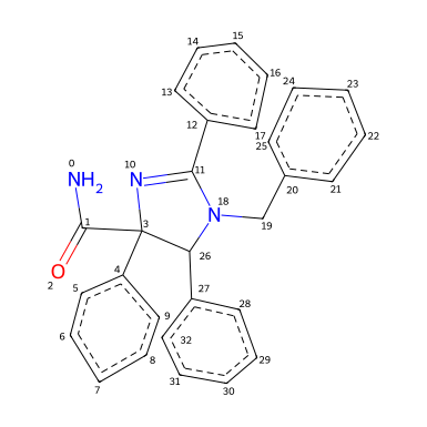 NC(=O)C1(c2ccccc2)N=C(c2ccccc2)N(Cc2ccccc2)C1c1ccccc1